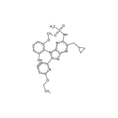 CCOc1cc#cc(-c2nc3nc(CC4CC4)c(NS(C)(=O)=O)nc3n2-c2c(O)cccc2OC)n1